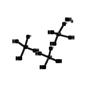 [BiH3].[O-][N+](O)(O)O.[O-][N+](O)(O)O.[O-][N+](O)(O)O